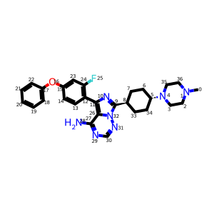 CN1CCN([C@H]2CC[C@H](c3nc(-c4ccc(Oc5ccccc5)cc4F)c4c(N)ncnn43)CC2)CC1